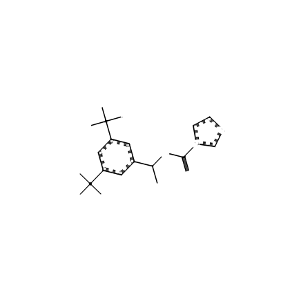 CC(OC(=O)n1ccnc1)c1cc(C(F)(F)F)cc(C(F)(F)F)c1